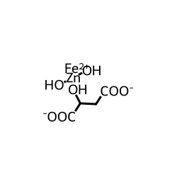 O=C([O-])CC(O)C(=O)[O-].[Fe+2].[OH][Zn][OH]